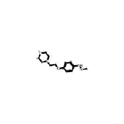 CONc1ccc(OCCN2CCOCC2)cc1